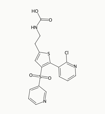 O=C(O)NCCc1cc(S(=O)(=O)c2cccnc2)c(-c2cccnc2Cl)s1